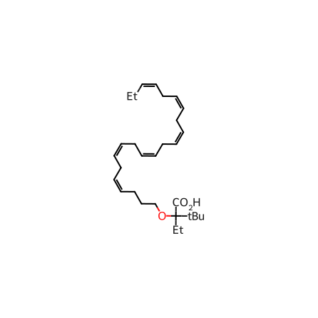 CC/C=C\C/C=C\C/C=C\C/C=C\C/C=C\C/C=C\CCCOC(CC)(C(=O)O)C(C)(C)C